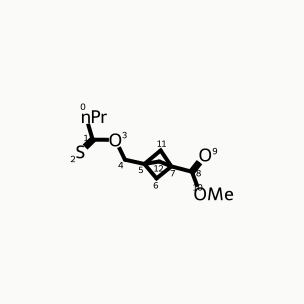 CCCC(=S)OCC12CC(C(=O)OC)(C1)C2